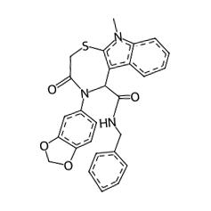 Cn1c2c(c3ccccc31)C(C(=O)NCc1ccccc1)N(c1ccc3c(c1)OCO3)C(=O)CS2